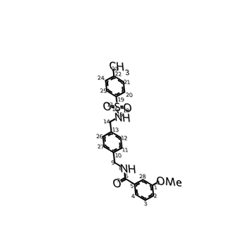 COc1cccc(C(=O)NCc2ccc(CNS(=O)(=O)c3ccc(C)cc3)cc2)c1